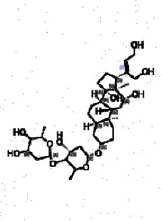 CC1O[C@H](OC2C(C)O[C@@H](O[C@H]3CC[C@@]4(C)[C@H](CC[C@@H]5[C@@H]4C[C@@H](O)[C@]4(C)[C@@H](/C(=C/CO)CO)CC[C@]54O)C3)C[C@H]2O)C[C@@H](O)C1O